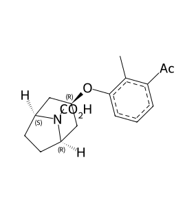 CC(=O)c1cccc(O[C@H]2C[C@H]3CC[C@@H](C2)N3C(=O)O)c1C